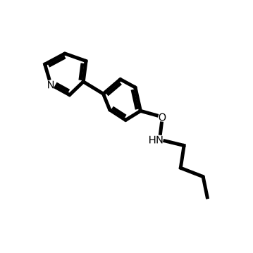 CCCCNOc1ccc(-c2cccnc2)cc1